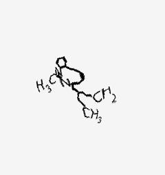 C=CCC/C(=C\c1ccccc2ccccc2nc(C)n1)CCC